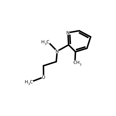 COCCN(C)c1ncccc1C